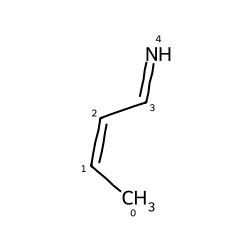 C/C=C\C=N